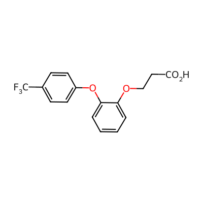 O=C(O)CCOc1ccccc1Oc1ccc(C(F)(F)F)cc1